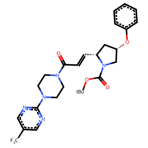 CC(C)(C)OC(=O)N1C[C@@H](Oc2ccccc2)C[C@H]1/C=C/C(=O)N1CCN(c2ncc(C(F)(F)F)cn2)CC1